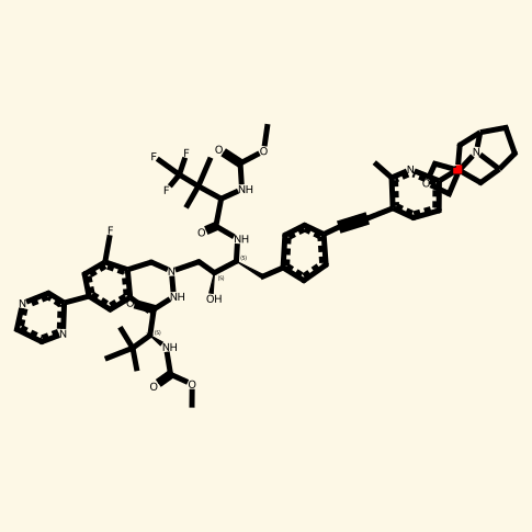 COC(=O)NC(C(=O)N[C@@H](Cc1ccc(C#Cc2ccc(N3CC4CCC(C3)N4C3COC3)nc2C)cc1)[C@@H](O)CN(Cc1c(F)cc(-c2cnccn2)cc1F)NC(=O)[C@@H](NC(=O)OC)C(C)(C)C)C(C)(C)C(F)(F)F